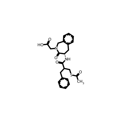 CC(=O)SCC(Cc1ccccc1)C(=O)N[C@H]1Cc2ccccc2CN(CC(=O)O)C1=O